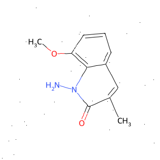 COc1cccc2cc(C)c(=O)n(N)c12